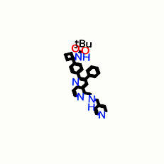 CC(C)(C)OC(=O)NC1(c2ccc(-c3nc4ccnc(CNCc5ccncc5)c4cc3-c3ccccc3)cc2)CCC1